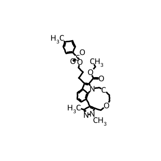 CCOC(=O)c1c(CCCOS(=O)(=O)c2ccc(C)cc2)c2cccc3c2n1CCCCOCc1c-3c(C)nn1C